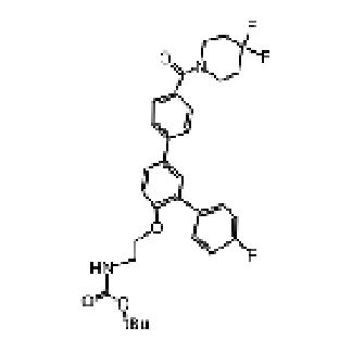 CC(C)(C)OC(=O)NCCOc1ccc(-c2ccc(C(=O)N3CCC(F)(F)CC3)cc2)cc1-c1ccc(F)cc1